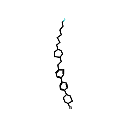 CCC1CCC(c2ccc(-c3ccc(CCC4CCC(CCCCCCCF)CC4)cc3)cc2)CC1